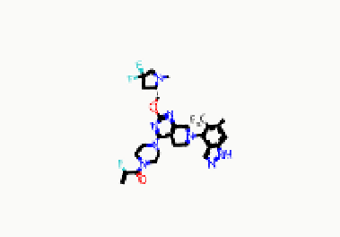 C=C(F)C(=O)N1CCN(c2nc(OC[C@@H]3CC(F)(F)CN3C)nc3c2CCN(c2c(C(F)(F)F)c(C)cc4[nH]ncc24)C3)CC1